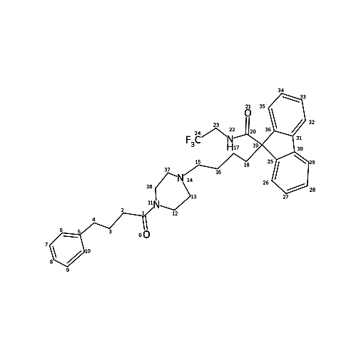 O=C(CCCc1ccccc1)N1CCN(CCCCC2(C(=O)NCC(F)(F)F)c3ccccc3-c3ccccc32)CC1